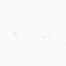 O=C(N[C@H](C(=O)O)C12CC3CC(CC(C3)C1)C2)c1sc2ccccc2c1OCc1nc2ccccc2s1